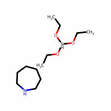 C1CCCNCC1.CCO[SiH](OCC)OCC